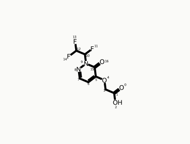 O=C(O)COc1ccnn(C(F)C(F)F)c1=O